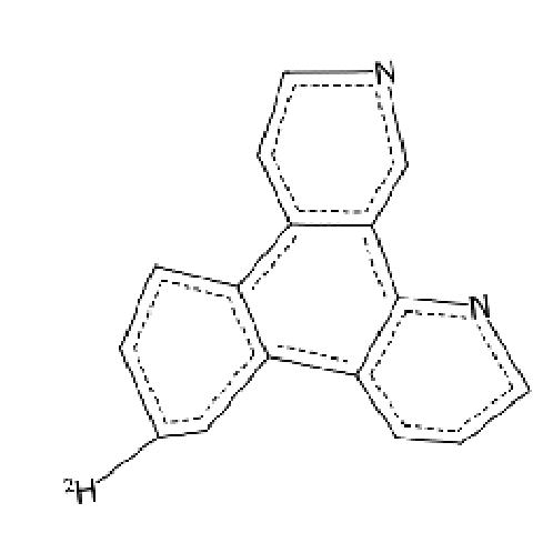 [2H]c1ccc2c(c1)c1cccnc1c1cnccc21